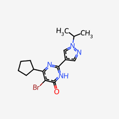 CC(C)n1cc(-c2nc(C3CCCC3)c(Br)c(=O)[nH]2)cn1